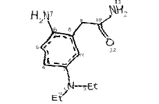 CCN(CC)c1ccc(N)c(CC(N)=O)c1